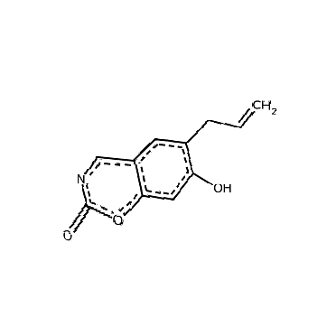 C=CCc1cc2cnc(=O)oc2cc1O